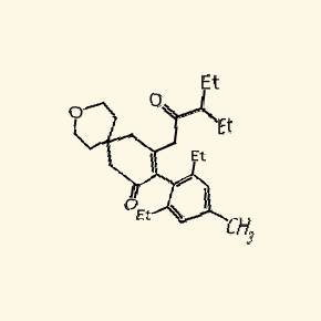 CCc1cc(C)cc(CC)c1C1=C(CC(=O)C(CC)CC)CC2(CCOCC2)CC1=O